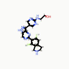 OCCNc1ncc(-c2n[nH]c3cnc(-c4c(F)cc5c(c4F)CNCC5)nc23)cn1